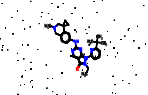 CCn1c(=O)c2cnc(Nc3ccc4c(c3)C3(CC3)CN(C)C4)nc2n1-c1cccc(C(C)(C)C)n1